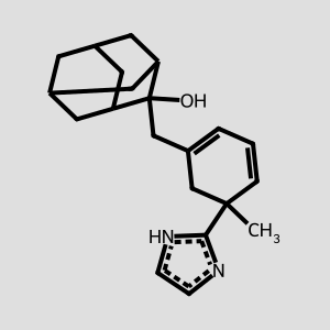 CC1(c2ncc[nH]2)C=CC=C(CC2(O)C3CC4CC(C3)CC2C4)C1